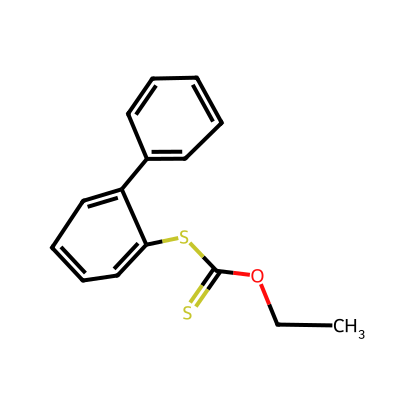 CCOC(=S)Sc1ccccc1-c1ccccc1